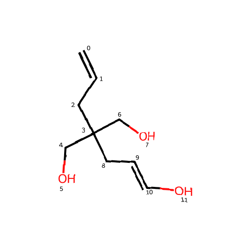 C=CCC(CO)(CO)CC=CO